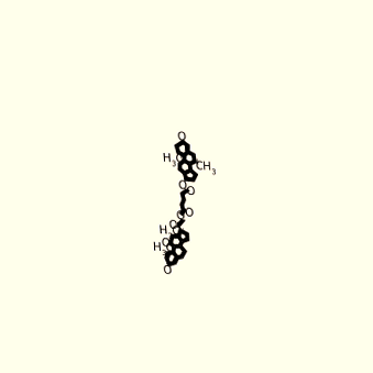 C[C@@H]1CC2=CC(=O)CC[C@]2(C)C2CCC3C(CC[C@@H]3OC(=O)CCCC(=O)OCC(=O)[C@H]3CCC4C5CCC6=CC(=O)C=C[C@]6(C)C5C(=O)C[C@@]43C)C21